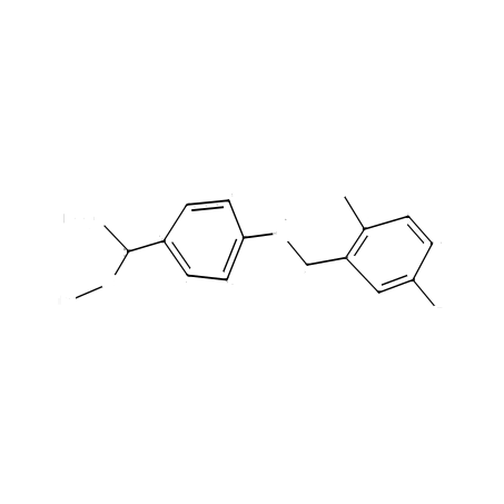 CC(C)OC(C(=O)O)c1ccc(OCc2cc(F)ccc2F)cc1